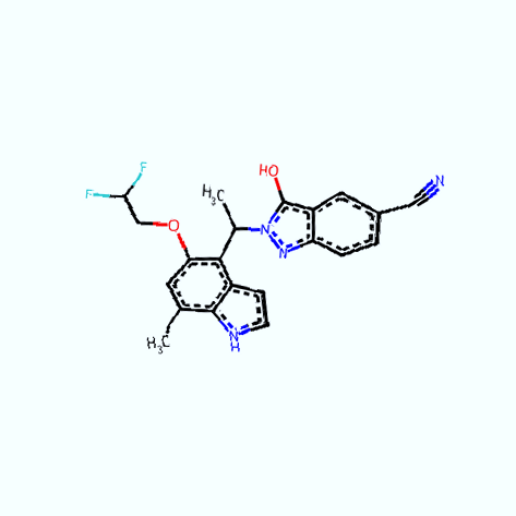 Cc1cc(OCC(F)F)c(C(C)n2nc3ccc(C#N)cc3c2O)c2cc[nH]c12